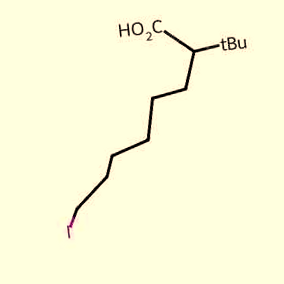 CC(C)(C)C(CCCCCCI)C(=O)O